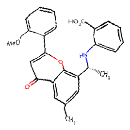 COc1ccccc1-c1cc(=O)c2cc(C)cc([C@@H](C)Nc3ccccc3C(=O)O)c2o1